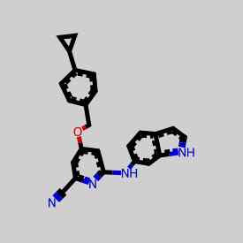 N#Cc1cc(OCc2ccc(C3CC3)cc2)cc(Nc2ccc3cc[nH]c3c2)n1